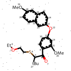 CCOCCSC(C(=O)c1ccc(Oc2ccc3cc(OC)ccc3c2)cc1OC)C(C)(C)C